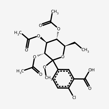 CC[C@H]1OC(OC)(c2ccc(Cl)c(C(=O)O)c2)[C@H](OC(C)=O)[C@@H](OC(C)=O)[C@@H]1OC(C)=O